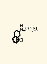 CCOC(=O)CNC1CCc2ccccc2C1.Cl